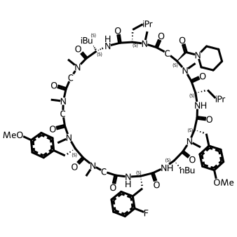 CCCC[C@@H]1NC(=O)[C@H](Cc2ccccc2F)NC(=O)CN(C)C(=O)[C@H](Cc2ccc(OC)cc2)N(C)C(=O)CN(C)C(=O)CN(C)C(=O)[C@H]([C@@H](C)CC)NC(=O)[C@H](CC(C)C)N(C)C(=O)C[C@@H](C(=O)N2CCCCC2)N(C)C(=O)[C@H](CC(C)C)NC(=O)[C@H](Cc2ccc(OC)cc2)N(C)C1=O